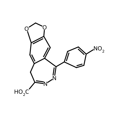 O=C(O)C1=NN=C(c2ccc([N+](=O)[O-])cc2)c2cc3c(cc2C1)OCO3